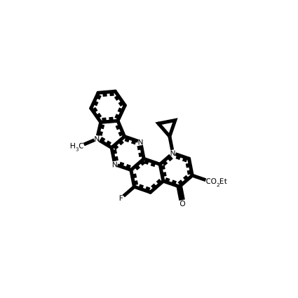 CCOC(=O)c1cn(C2CC2)c2c(cc(F)c3nc4c(nc32)c2ccccc2n4C)c1=O